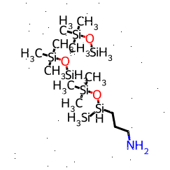 C[Si](C)(C)O[SiH3].C[Si](C)(C)O[SiH3].C[Si](C)(C)O[SiH]([SiH3])CCCN